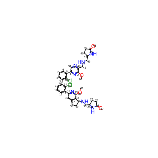 COc1nc(-c2cccc(-c3cccc(-c4cc5c(c(OC)n4)C(NCC4CCC(=O)N4)CC5)c3Cl)c2Cl)cnc1CNCC1CCC(=O)N1